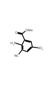 COC(=O)c1cc([N+](=O)[O-])cc(C#N)c1N